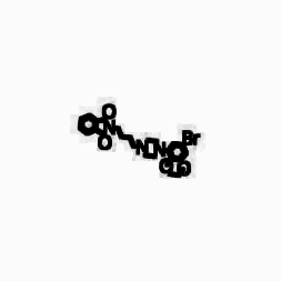 O=C1c2ccccc2C(=O)N1CCCCN1CCN(c2cc(Br)cc3c2OCCO3)CC1